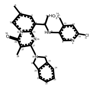 Cc1cc(C(C)Nc2cnc(Cl)cc2C(=O)O)c2nc(N3Cc4ccccc4C3)c(C)c(=O)n2c1